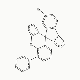 Brc1ccc2c(c1)C1(c3ccccc3Oc3c(-c4ccccc4)cccc31)c1ccccc1-2